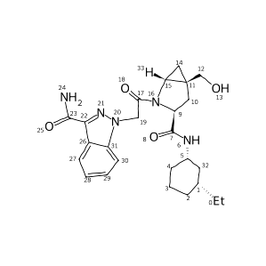 CC[C@@H]1CCC[C@H](NC(=O)[C@@H]2C[C@@]3(CO)C[C@H]3N2C(=O)Cn2nc(C(N)=O)c3ccccc32)C1